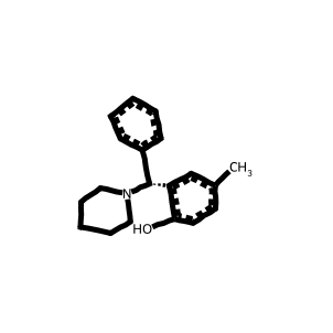 Cc1ccc(O)c([C@@H](c2ccccc2)N2CCCCC2)c1